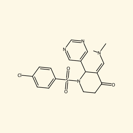 CN(C)/C=C1/C(=O)CCN(S(=O)(=O)c2ccc(Cl)cc2)C1c1cncnc1